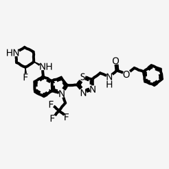 O=C(NCc1nnc(-c2cc3c(N[C@@H]4CCNC[C@@H]4F)cccc3n2CC(F)(F)F)s1)OCc1ccccc1